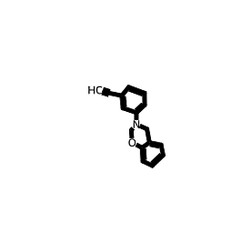 C#Cc1cccc(N2COc3ccccc3C2)c1